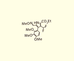 CCOC(=O)c1[nH]c(/C=N/OC)c(-c2ccc(OC)c(OC)c2OC)c1C(F)F